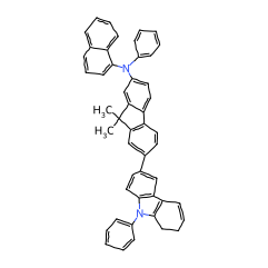 CC1(C)c2cc(-c3ccc4c(c3)c3c(n4-c4ccccc4)CCC=C3)ccc2-c2ccc(N(c3ccccc3)c3cccc4ccccc34)cc21